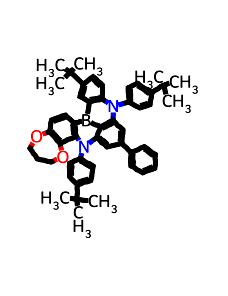 CC(C)(C)c1ccc(N2c3ccc(C(C)(C)C)cc3B3c4ccc5c(c4N(c4ccc(C(C)(C)C)cc4)c4cc(-c6ccccc6)cc2c43)OCCCO5)cc1